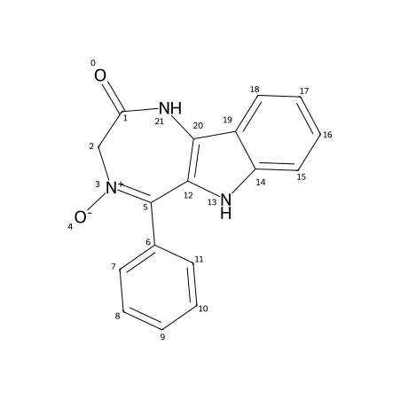 O=C1C[N+]([O-])=C(c2ccccc2)c2[nH]c3ccccc3c2N1